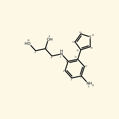 Nc1ccc(NCC(O)CO)c(-c2ccsc2)c1